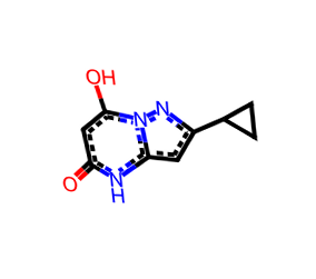 O=c1cc(O)n2nc(C3CC3)cc2[nH]1